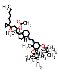 C=C1/C(=C\C=C2/CCC[C@]3(C)[C@@H]([C@H](C)C(CC(=O)C4(CCCCCC)CC4)OC(C)=O)CC[C@@H]23)CC(O[Si](C)(C)C(C)(C)C)CC1O[Si](C)(C)C(C)(C)C